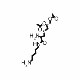 CC(=O)OC[C@H](CSC[C@H](N)C(=O)NCCCCCN)OC(C)=O